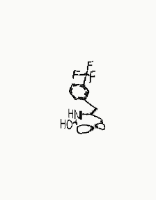 O=CC(Cc1cccc(C(F)(F)F)c1)NC(=O)O